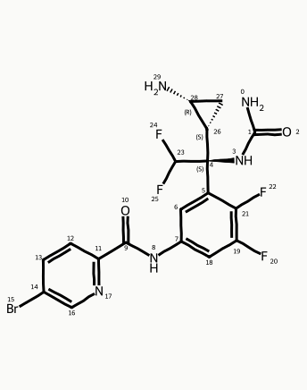 NC(=O)N[C@@](c1cc(NC(=O)c2ccc(Br)cn2)cc(F)c1F)(C(F)F)[C@H]1C[C@H]1N